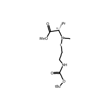 COC(=O)[C@H](C(C)C)N(C)CCCNC(=O)OC(C)(C)C